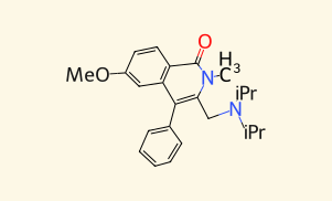 COc1ccc2c(=O)n(C)c(CN(C(C)C)C(C)C)c(-c3ccccc3)c2c1